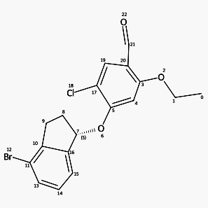 CCOc1cc(O[C@H]2CCc3c(Br)cccc32)c(Cl)cc1C=O